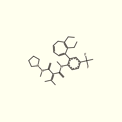 C=C(C(C(=C)N(C)N1CCCC1)=C(C)C)N(C)c1ccc(C(C)(F)F)cc1C1=CC=CCC(CC)=C1CC